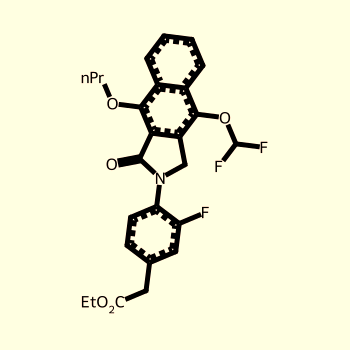 CCCOc1c2c(c(OC(F)F)c3ccccc13)CN(c1ccc(CC(=O)OCC)cc1F)C2=O